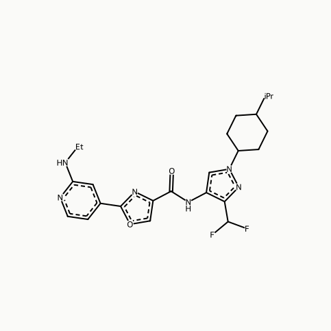 CCNc1cc(-c2nc(C(=O)Nc3cn(C4CCC(C(C)C)CC4)nc3C(F)F)co2)ccn1